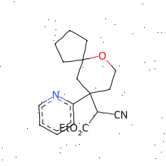 CCOC(=O)C(C#N)C1(c2ccccn2)CCOC2(CCCC2)C1